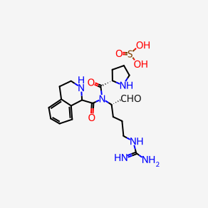 N=C(N)NCCC[C@@H](C=O)N(C(=O)C1NCCc2ccccc21)C(=O)[C@@H]1CCCN1.O=S(O)O